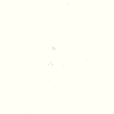 C=C/C=C\c1c(C=C)c(/C=C\C)n(On2c(C)c(/C=C\C=C/C)c3ccccc32)c1C